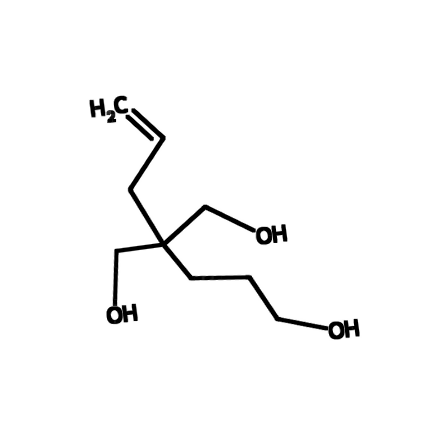 C=CCC(CO)(CO)CCCO